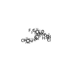 O=C(NCc1cnc(Cl)s1)N1CC2(CCN(CC=Cc3ccc(Cl)cc3)CC2)c2cc(C(F)(F)F)ccc21